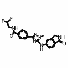 Cn1nc(-c2ccc(C(=O)NCC(F)F)cc2)nc1Nc1ccc2c(c1)CNC2=O